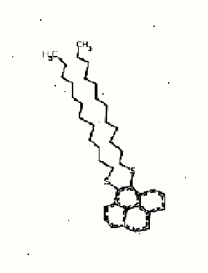 CCCCCCCCCCCCSc1c(SCCCCCCCCCCCC)c2cccc3ccc4cccc1c4c32